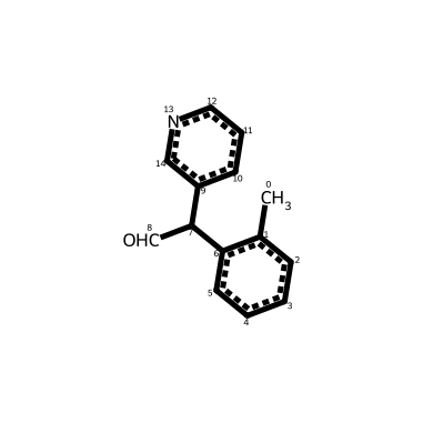 Cc1ccccc1C(C=O)c1cccnc1